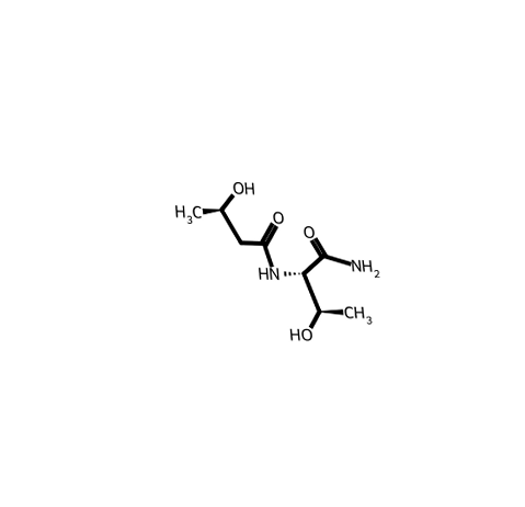 C[C@@H](O)CC(=O)N[C@H](C(N)=O)[C@@H](C)O